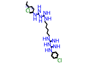 C=C(/C=C\C(Cl)=C/C)NC(=N)NC(=N)NCCCCCCNC(=N)NC(=N)Nc1ccc(Cl)cc1